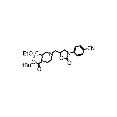 CCOC(=O)C1CN(CC2CN(c3ccc(C#N)cc3)C(=O)O2)CCN1C(=O)OC(C)(C)C